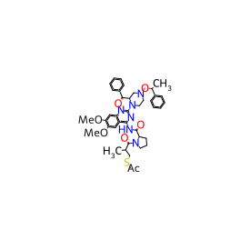 COc1cc2nc(N3CCN(OC(C)c4ccccc4)CC3C(=O)c3ccccc3)nc(NC(=O)C3CCCN3C(=O)C(C)CSC(C)=O)c2cc1OC